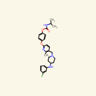 Cc1nc(Oc2ccc(OC(=O)NC(C)C)cc2)ccc1CN1CCC(Nc2cccc(F)c2)CC1